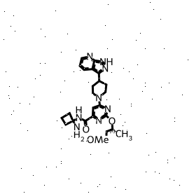 COC[C@@H](C)Oc1nc(C(=O)NC2(N)CCC2)cc(N2CCC(c3n[nH]c4ncccc34)CC2)n1